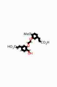 COc1ccc(/C=C/C(=O)O)cc1OCCOc1cc(/C=C/C(=O)O)ccc1CO